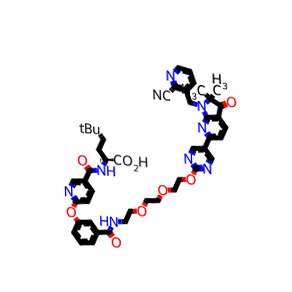 CC(C)(C)CC[C@H](NC(=O)c1ccc(Oc2cccc(C(=O)NCCOCCOCCOc3ncc(-c4ccc5c(n4)N(Cc4cccnc4C#N)C(C)(C)C5=O)cn3)c2)nc1)C(=O)O